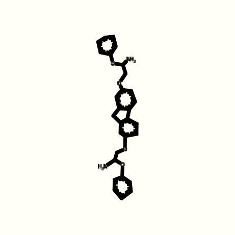 NC(COc1ccc2c(c1)Cc1cc(OCC(N)Oc3ccccc3)ccc1-2)Oc1ccccc1